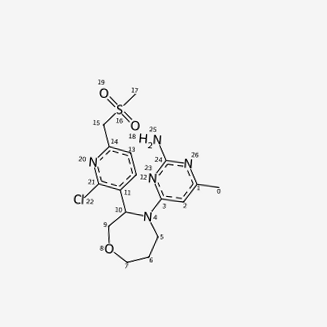 Cc1cc(N2CCCOCC2c2ccc(CS(C)(=O)=O)nc2Cl)nc(N)n1